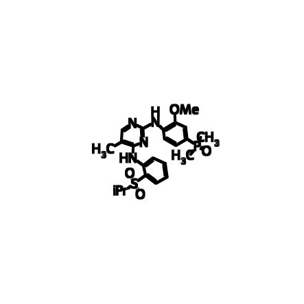 COc1cc(P(C)(C)=O)ccc1Nc1ncc(C)c(Nc2ccccc2S(=O)(=O)C(C)C)n1